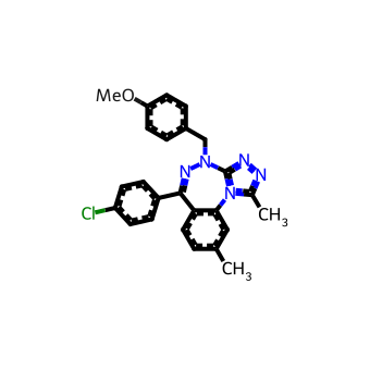 COc1ccc(CN2N=C(c3ccc(Cl)cc3)c3ccc(C)cc3-n3c(C)nnc32)cc1